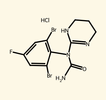 Cl.NC(=O)N(C1=NCCCN1)c1c(Br)cc(F)cc1Br